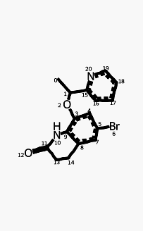 CC(Oc1cc(Br)cc2c1NC(=O)CC2)c1ccccn1